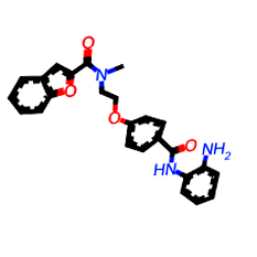 CN(CCOc1ccc(C(=O)Nc2ccccc2N)cc1)C(=O)c1cc2ccccc2o1